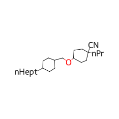 CCCCCCCC1CCC(COC2CCC(C#N)(CCC)CC2)CC1